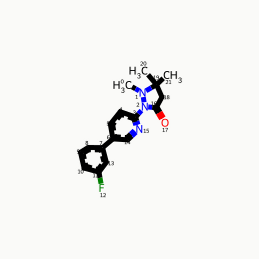 CN1N(c2ccc(-c3cccc(F)c3)cn2)C(=O)CC1(C)C